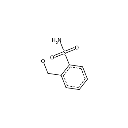 NS(=O)(=O)c1ccccc1C[O]